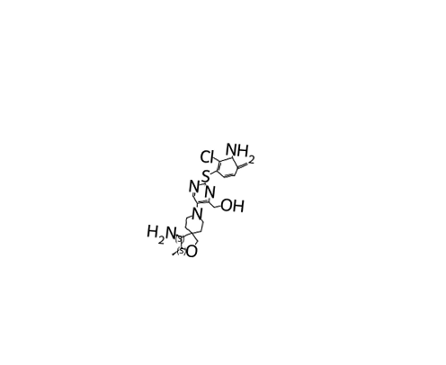 C=C1C=CC(Sc2ncc(N3CCC4(CC3)CO[C@@H](C)[C@H]4N)c(CO)n2)=C(Cl)C1N